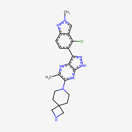 Cc1nc2c(-c3ccc4nn(C)cc4c3Cl)n[nH]c2nc1N1CCC2(CC1)CNC2